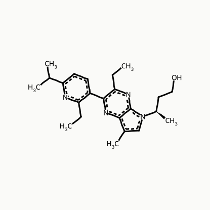 CCc1nc(C(C)C)ccc1-c1nc2c(C)cn([C@H](C)CCO)c2nc1CC